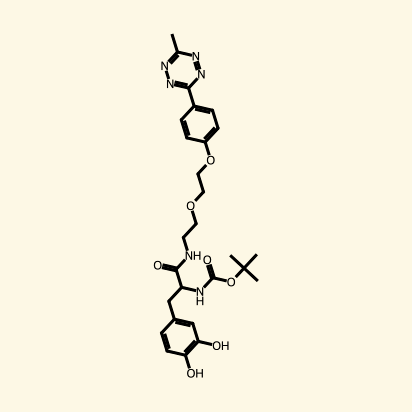 Cc1nnc(-c2ccc(OCCOCCNC(=O)C(Cc3ccc(O)c(O)c3)NC(=O)OC(C)(C)C)cc2)nn1